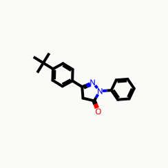 CC(C)(C)c1ccc(C2=NN(c3ccccc3)C(=O)C2)cc1